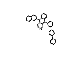 c1ccc(-c2ccc(-c3cccc(-c4c5ccccc5c(-c5ccc6ccccc6c5)c5ccncc45)c3)cc2)cc1